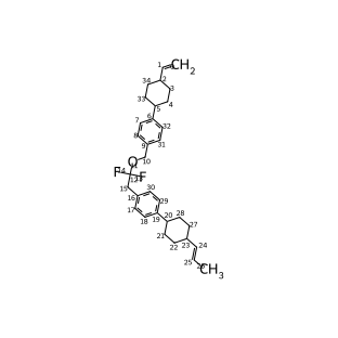 C=CC1CCC(c2ccc(COC(F)(F)Cc3ccc(C4CCC(C=CC)CC4)cc3)cc2)CC1